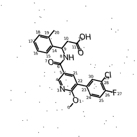 COc1ncc(C(=O)NC(CC(=O)O)c2ccccc2C)cc1-c1ccc(F)c(Cl)c1